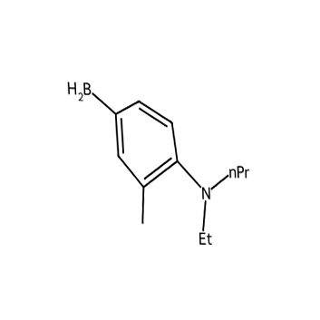 Bc1ccc(N(CC)CCC)c(C)c1